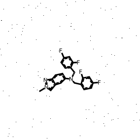 Cn1cc2cc(N(Cc3ccc(F)cc3F)Cc3ccc(F)cc3F)ccc2n1